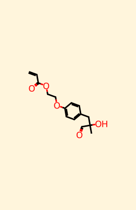 C=CC(=O)OCCOc1ccc(CC(C)(O)C=O)cc1